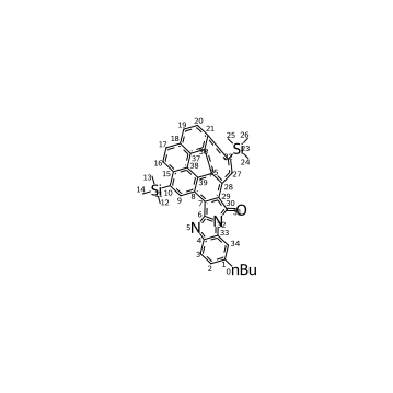 CCCCc1ccc2nc3c4c5cc([Si](C)(C)C)c6ccc7ccc8c([Si](C)(C)C)cc(c4c(=O)n3c2c1)c1c8c7c6c51